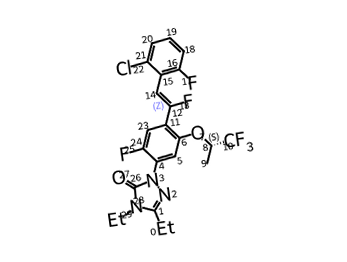 CCc1nn(-c2cc(O[C@@H](C)C(F)(F)F)c(/C(F)=C/c3c(F)cccc3Cl)cc2F)c(=O)n1CC